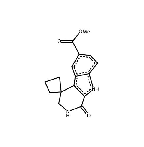 COC(=O)c1ccc2[nH]c3c(c2c1)C1(CCC1)CNC3=O